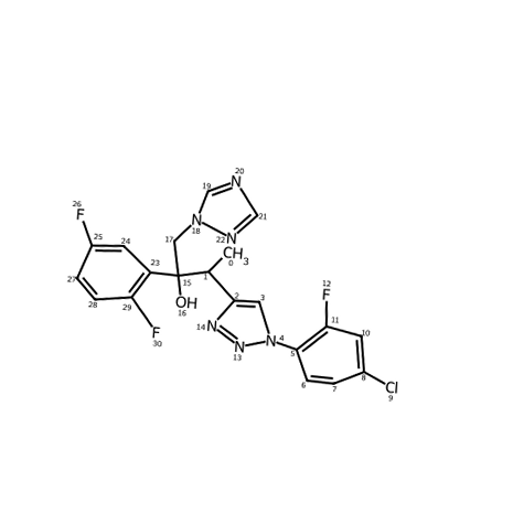 CC(c1cn(-c2ccc(Cl)cc2F)nn1)C(O)(Cn1cncn1)c1cc(F)ccc1F